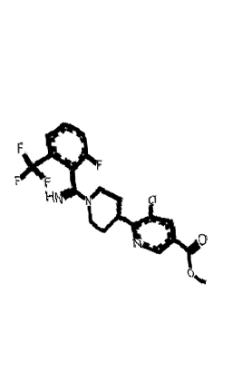 COC(=O)c1cnc(C2CCN(C(=N)c3c(F)cccc3C(F)(F)F)CC2)c(Cl)c1